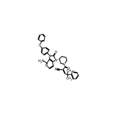 CC(C)(/C=C(/C#N)C(=O)N1CCC[C@@H](n2c(=O)n(-c3ccc(Oc4ccccc4)cc3)c3c(N)nccc32)C1)c1ccccn1